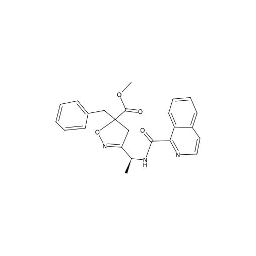 COC(=O)C1(Cc2ccccc2)CC([C@H](C)NC(=O)c2nccc3ccccc23)=NO1